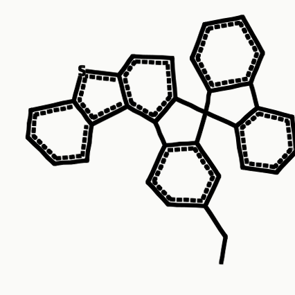 CCc1ccc2c(c1)C1(c3ccccc3-c3ccccc31)c1ccc3sc4ccccc4c3c1-2